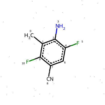 Cc1c(N)c(F)cc(C#N)c1F